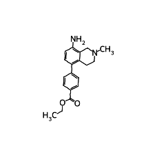 CCOC(=O)c1ccc(-c2ccc(N)c3c2CCN(C)C3)cc1